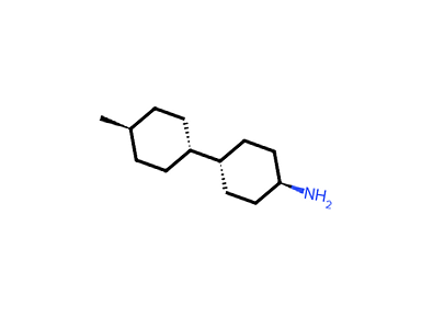 C[C@H]1CC[C@H]([C@H]2CC[C@H](N)CC2)CC1